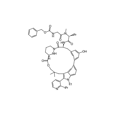 CCn1c(-c2cccnc2C(C)C)c2c3cc(ccc31)-c1cc(O)cc(c1)C[C@H](NC(=O)[C@H](C(C)C)N(C)C(=O)CNC(=O)OCc1ccccc1)C(=O)N1CCC[C@H](N1)C(=O)OCC(C)(C)C2